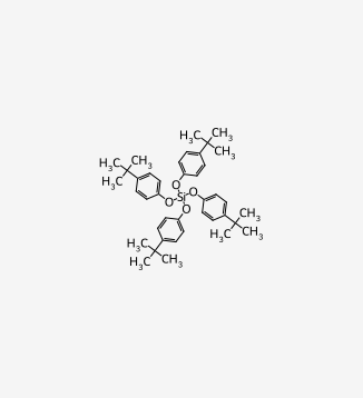 CC(C)(C)c1ccc(O[Si](Oc2ccc(C(C)(C)C)cc2)(Oc2ccc(C(C)(C)C)cc2)Oc2ccc(C(C)(C)C)cc2)cc1